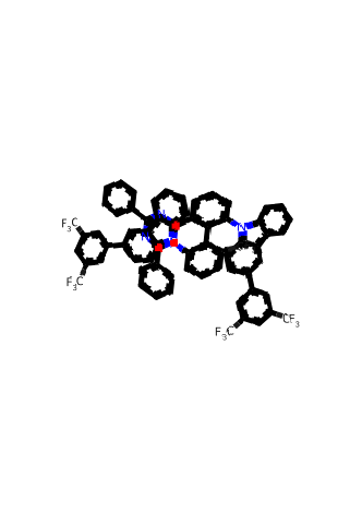 FC(F)(F)c1cc(-c2ccc3c(c2)c2ccccc2n3-c2cccc(-c3nc(-c4ccccc4)nc(-c4ccccc4)n3)c2-c2c(-n3c4ccccc4c4cc(-c5cc(C(F)(F)F)cc(C(F)(F)F)c5)ccc43)cccc2C(F)(F)F)cc(C(F)(F)F)c1